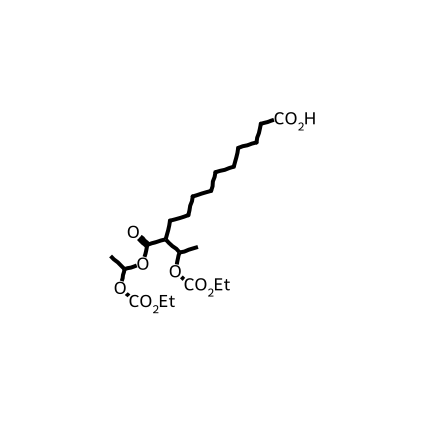 CCOC(=O)OC(C)OC(=O)C(CCCCCCCCCC(=O)O)C(C)OC(=O)OCC